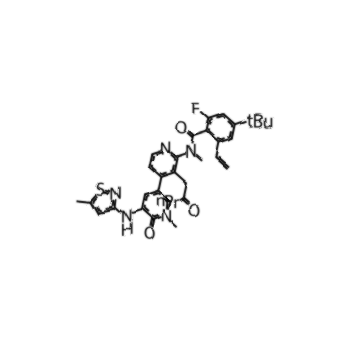 C=Cc1cc(C(C)(C)C)cc(F)c1C(=O)N(C)c1nccc(-c2cc(Nc3cc(C)sn3)c(=O)n(C)c2)c1CC(=O)CCC